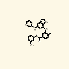 Cc1ccc(C(=O)Nc2cccc(C(F)(F)F)c2)cc1Nc1nc(Nc2cccnc2)nc2cc[nH]c12